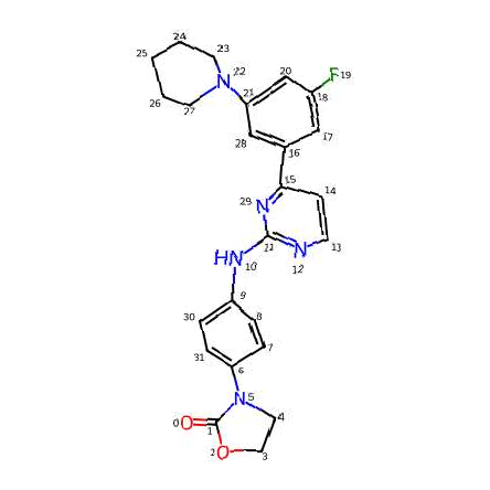 O=C1OCCN1c1ccc(Nc2nccc(-c3cc(F)cc(N4CCCCC4)c3)n2)cc1